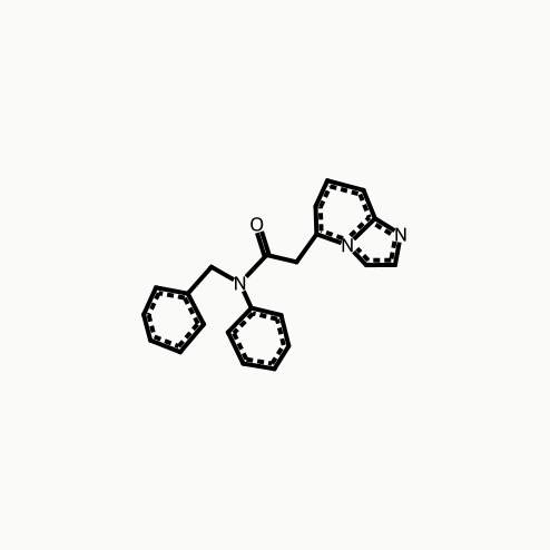 O=C(Cc1cccc2nccn12)N(Cc1ccccc1)c1ccccc1